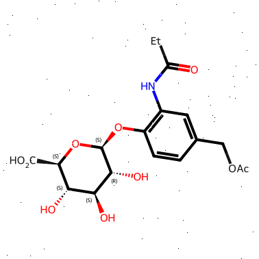 CCC(=O)Nc1cc(COC(C)=O)ccc1O[C@@H]1O[C@H](C(=O)O)[C@@H](O)[C@H](O)[C@H]1O